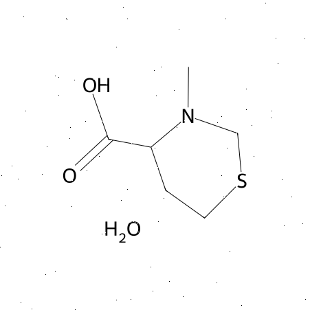 CN1CSCCC1C(=O)O.O